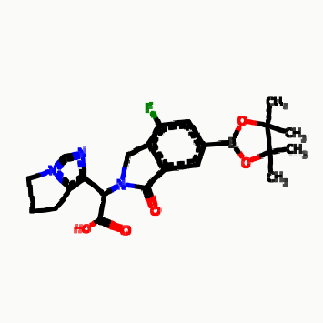 CC1(C)OB(c2cc(F)c3c(c2)C(=O)N(C(C(=O)O)c2ncn4c2CCC4)C3)OC1(C)C